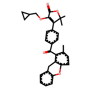 Cc1ccc2c(c1C(=O)c1ccc(C3=C(OCC4CC4)C(=O)OC3(C)C)cc1)Cc1ccccc1O2